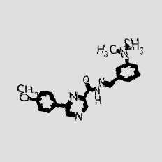 COc1ccc(-c2cncc(C(=O)NN=Cc3cccc(N(C)C)c3)n2)cc1